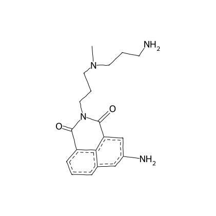 CN(CCCN)CCCN1C(=O)c2cccc3cc(N)cc(c23)C1=O